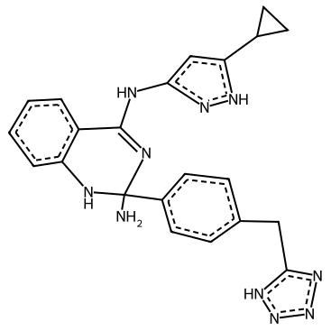 NC1(c2ccc(Cc3nnn[nH]3)cc2)N=C(Nc2cc(C3CC3)[nH]n2)c2ccccc2N1